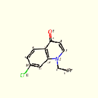 CC(C)Cn1ccc(=O)c2ccc(Cl)cc21